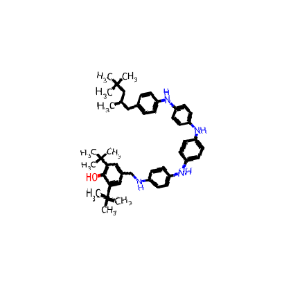 CC(Cc1ccc(Nc2ccc(Nc3ccc(Nc4ccc(NCc5cc(C(C)(C)C)c(O)c(C(C)(C)C)c5)cc4)cc3)cc2)cc1)CC(C)(C)C